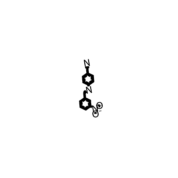 N#Cc1ccc(/N=C/c2cccc([N+](=O)[O-])c2)cc1